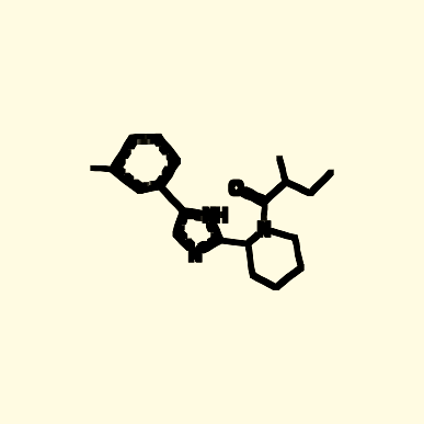 CCC(C)C(=O)N1CCCCC1c1ncc(-c2cccc(C)c2)[nH]1